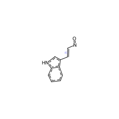 O=N/C=C/c1c[nH]c2ccccc12